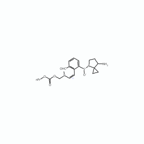 CCCOC(=O)OCN(C)/C=C\c1c(C=O)cccc1[S+]([O-])N1CCC(N)C12CC2